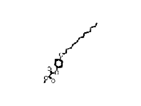 CCCCCCCCCCCCOc1ccc(OC(=O)C(=O)OC)cc1